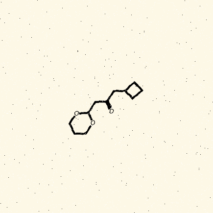 O=C(CC1CCC1)CC1OCCCO1